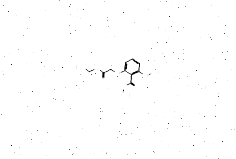 CCOC(=O)COc1cccc(OC)c1C(=O)OC